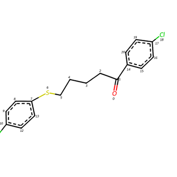 O=C(CCCCSc1ccc(Cl)cc1)c1ccc(Cl)cc1